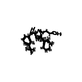 OCCn1nc(Nc2cccc(C(F)(F)F)c2)nc1-c1cccnc1